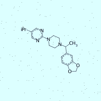 CC(C)c1cnc(N2CCN(C(C)c3ccc4c(c3)OCO4)CC2)nc1